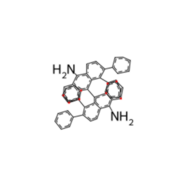 Nc1c2ccccc2c(-c2c3ccccc3c(N)c3ccc(-c4ccccc4)c(-c4ccccc4)c23)c2c(-c3ccccc3)c(-c3ccccc3)ccc12